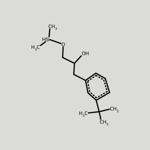 C[SiH](C)OCC(O)Cc1cccc(C(C)(C)C)c1